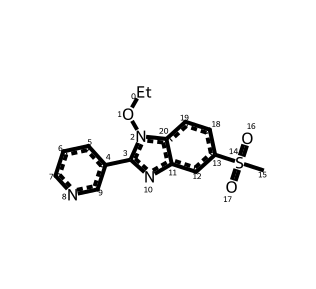 CCOn1c(-c2cccnc2)nc2cc(S(C)(=O)=O)ccc21